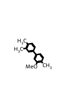 COc1cc(-c2ccc(C)c(C)c2)ccc1C